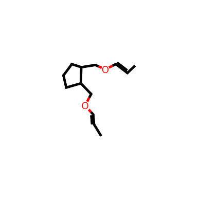 CC=COCC1CCCC1COC=CC